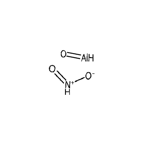 O=[NH+][O-].[O]=[AlH]